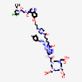 C#C[C@H]1CC(F)(F)CN1C(=O)CNC(=O)c1ccnc2ccc(OCCCCN3CCN(C(=O)CCCCCC(=O)N/N=C\C(C/C=N/NCN/N=C/c4ccc(I)cc4)NC(=O)CN4CCN(COC=O)CCN(COC=O)CCN(CC(=O)O)CC4)CC3)cc12